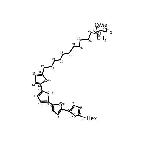 CCCCCCc1ccc(-c2ccc(-c3ccc(-c4ccc(CCCCCCCCCCC[Si](C)(C)OC)s4)s3)s2)s1